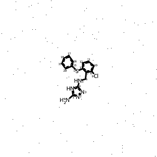 Nc1nnc(NCc2c(Cl)cccc2Sc2ccccc2)[nH]1